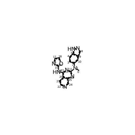 CN(c1ccc2[nH]ncc2c1)c1nc(Nc2ncco2)c2ccncc2n1